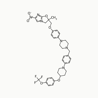 CC1(COc2ccc(N3CCN(Cc4ccc(N5CCC(Oc6ccc(OC(F)(F)F)cc6)CC5)cc4)CC3)cc2)Cn2cc([N+](=O)[O-])nc2O1